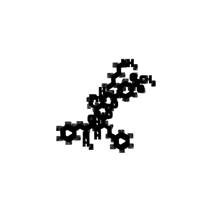 CC(C)C[C@@H](NC(=O)[C@@H](CCc1ccccc1)NC(=O)[C@H](N)Cc1ccccc1)C(=O)N[C@H](CCCCCN)C(=O)N1CCN(S(C)(=O)=O)CC1